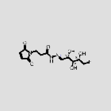 O=C(CCN1C(=O)C=CC1=O)N/N=C/[C@H](O)[C@H](O)[C@H](O)CF